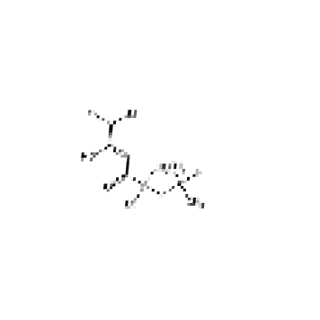 CCC(CC)/C(O)=C/C(=O)C(C)(CC)CC(C)(C)F